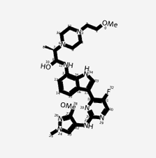 COCCN1CCN([C@H](C)C(O)Nc2cccc3c(-c4nc(Nc5cn(C)nc5OC)ncc4F)c[nH]c23)CC1